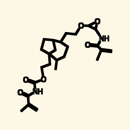 C=C(C)C(=O)NC(=O)OCCC12CCC(C1)C(CCOC1OC1NC(=O)C(=C)C)CCC2C